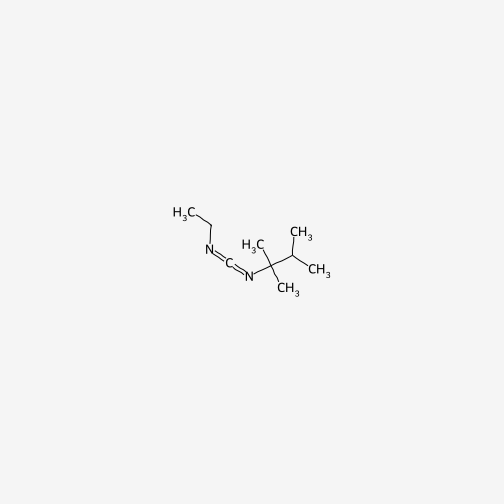 CCN=C=NC(C)(C)C(C)C